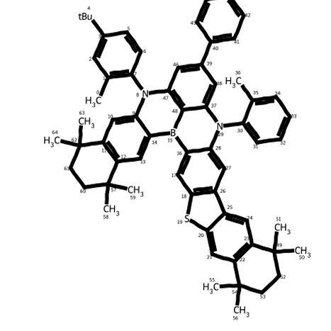 Cc1cc(C(C)(C)C)ccc1N1c2cc3c(cc2B2c4cc5sc6cc7c(cc6c5cc4N(c4ccccc4C)c4cc(-c5ccccc5)cc1c42)C(C)(C)CCC7(C)C)C(C)(C)CCC3(C)C